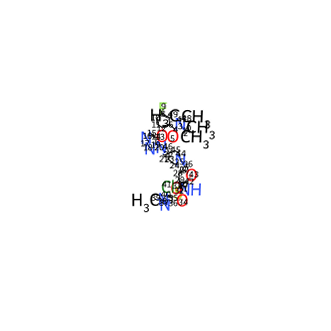 CC(C)N(C(=O)c1cc(F)ccc1Oc1cncnc1N1CC2(CCN(C[C@@H]3CC[C@@H](NS(=O)(=O)c4cnn(C)c4Cl)CO3)CC2)C1)C(C)C